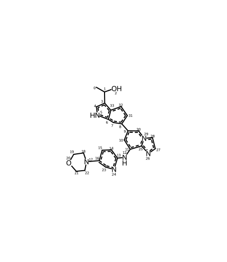 CC(O)c1c[nH]c2cc(-c3cc(Nc4ccc(N5CCOCC5)cn4)c4nccn4c3)ccc12